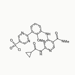 CNC(=O)c1cnc(NC(=O)C2CC2)cc1Nc1cccc(-c2ncc(S(=O)(=O)Cl)cn2)c1OC